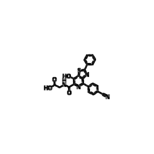 N#Cc1ccc(-c2nc(C(=O)NCC(=O)O)c(O)c3sc(-c4ccccc4)nc23)cc1